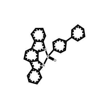 O=P1(c2ccc(-c3ccccc3)cc2)n2c3ccccc3c3ccc4c5ccccc5n1c4c32